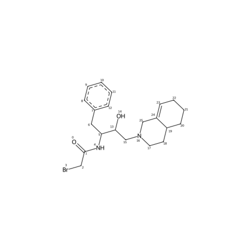 O=C(CBr)NC(Cc1ccccc1)C(O)CN1CCC2CCCC=C2C1